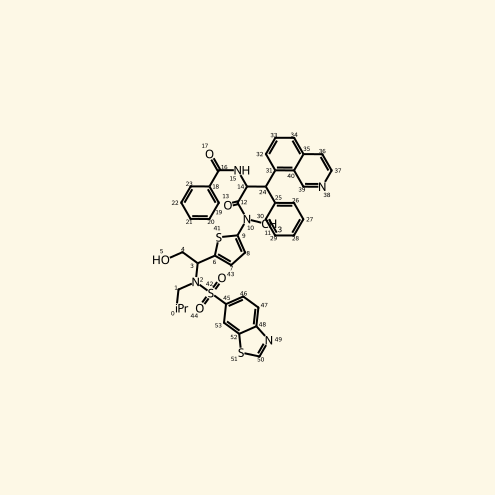 CC(C)CN(C(CO)c1ccc(N(C)C(=O)C(NC(=O)c2ccccc2)C(c2ccccc2)c2cccc3ccncc23)s1)S(=O)(=O)c1ccc2ncsc2c1